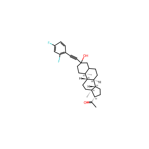 CC(=O)[C@H]1CC[C@H]2[C@@H]3CCC4CC(O)(C#Cc5ccc(F)cc5F)CC[C@]4(C)[C@H]3CC[C@]12C